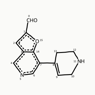 O=Cc1cc2cncc(C3=CCNCC3)c2o1